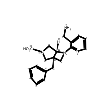 NCc1cccnc1N1C[C@]2(Cc3ccccc3)CN(C(=O)O)C[C@H]12